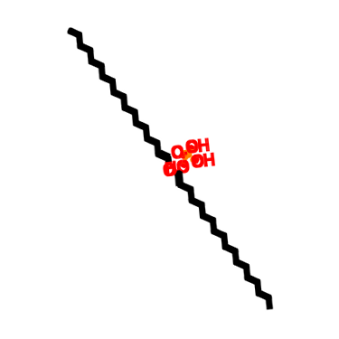 CCCCCCCCCCCCCCCCC=COC=CCCCCCCCCCCCCCCCC.O=P(O)(O)O